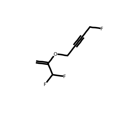 C=C(OCC#CCF)C(F)F